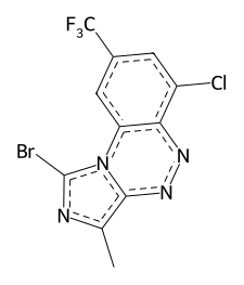 Cc1nc(Br)n2c1nnc1c(Cl)cc(C(F)(F)F)cc12